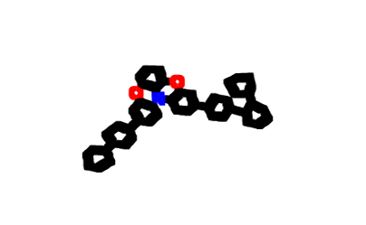 c1ccc(-c2ccc(-c3ccc4c(c3)Oc3cccc5c3N4c3ccc(-c4ccc(-c6ccccc6-c6ccccc6)cc4)cc3O5)cc2)cc1